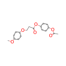 COc1ccc(OCCC(=O)Oc2ccc(OC(C)=O)cc2)cc1